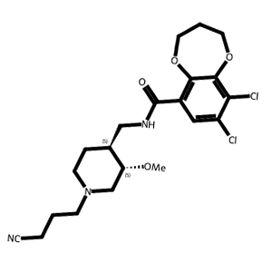 CO[C@@H]1CN(CCCC#N)CC[C@H]1CNC(=O)c1cc(Cl)c(Cl)c2c1OCCCO2